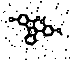 COc1ccc(-c2c3n(c4ccccc24)-c2cc(Cl)ccc2C3=O)c(OC)c1